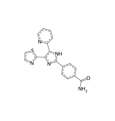 NC(=O)c1ccc(-c2nc(-c3nccs3)c(-c3ccccn3)[nH]2)cc1